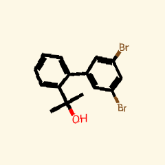 CC(C)(O)c1ccccc1-c1cc(Br)cc(Br)c1